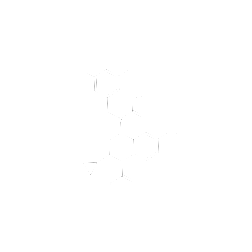 COC(=O)N(Cc1cc(C(F)(F)F)cc(C(F)(F)F)c1)C1CC(C2CC2)N(C(=O)Cl)c2ccc(C(F)(F)F)cc21